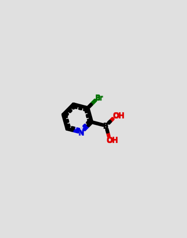 OB(O)c1ncccc1Br